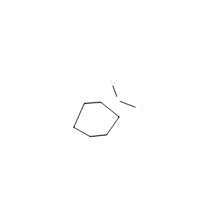 C1CCCCC1.Cl[SiH2]Cl